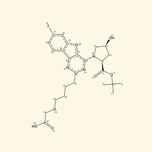 CC(C)(C)OC(=O)[C@@H]1C[C@H](O)CN1c1nc(CCCCOCC(=O)O)nc2c1oc1cc(F)ccc12